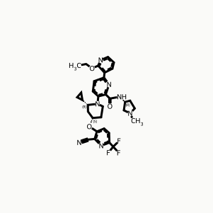 CCOc1ncccc1-c1ccc(N2CC[C@H](Oc3ccc(C(F)(F)F)nc3C#N)C[C@@H]2C2CC2)c(C(=O)N[C@@H]2CCN(C)C2)n1